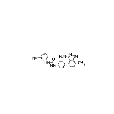 Cc1ccc(-c2ccc(NC(=O)Nc3cccc(C#N)c3)cc2)c2c(N)n[nH]c12